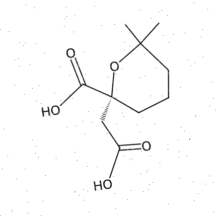 CC1(C)CCC[C@@](CC(=O)O)(C(=O)O)O1